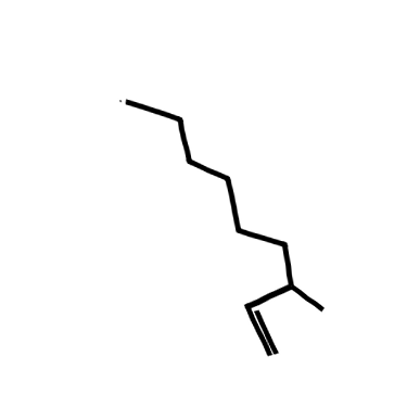 [CH2]CCCCCC(C)C=C